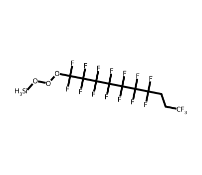 FC(F)(F)CCC(F)(F)C(F)(F)C(F)(F)C(F)(F)C(F)(F)C(F)(F)C(F)(F)OOO[SiH3]